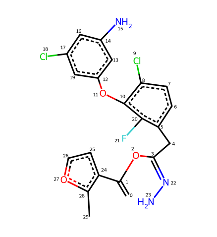 C=C(O/C(Cc1ccc(Cl)c(Oc2cc(N)cc(Cl)c2)c1F)=N\N)c1ccoc1C